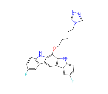 Fc1ccc2[nH]c3c(OCCCCCn4cnnc4)c4[nH]c5ccc(F)cc5c4cc3c2c1